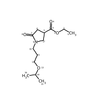 CCOC(=O)C1CC(=O)N(CCCOC(C)C)C1